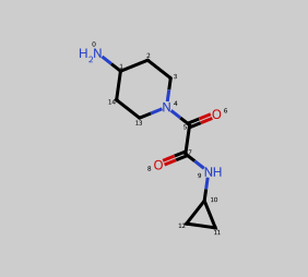 NC1CCN(C(=O)C(=O)NC2CC2)CC1